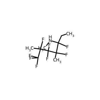 CCC(F)(NC)C(C)(F)C(F)(F)C(C)(F)C(F)(F)F